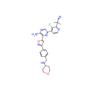 CC(C)(C#N)c1nccc(-c2cnc(N)c(-c3cc(-c4ccc(CNC5CCOCC5)cc4)no3)n2)c1F